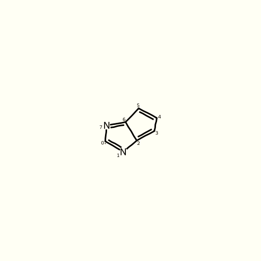 [C]1=NC2=CC=CC2=N1